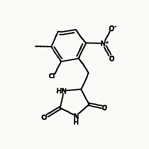 Cc1ccc([N+](=O)[O-])c(CC2NC(=O)NC2=O)c1Cl